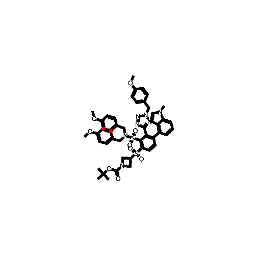 COc1ccc(CN(Cc2ccc(OC)cc2)S(=O)(=O)c2c(S(=O)(=O)C3CN(C(=O)OC(C)(C)C)C3)ccc(-c3cccc4c3ccn4C)c2-c2nnn(Cc3ccc(OC)cc3)n2)cc1